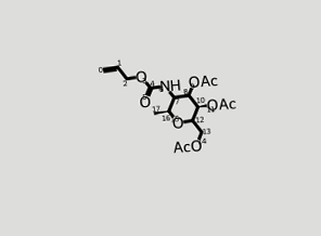 C=CCOC(=O)NC1C(OC(C)=O)[C@@H](OC(C)=O)C(COC(C)=O)O[C@H]1C